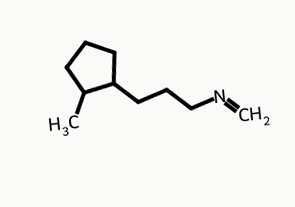 C=NCCCC1CCCC1C